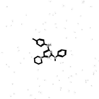 Cc1ccc(Nc2cc(N3CCCCC3)nc(N(C)c3ccccc3)n2)cc1